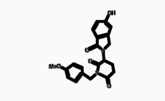 COc1ccc(CN2C(=O)CCC(N3Cc4cc(O)ccc4C3=O)C2=O)cc1